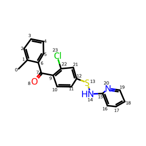 Cc1ccccc1C(=O)c1ccc(SNc2ccccn2)cc1Cl